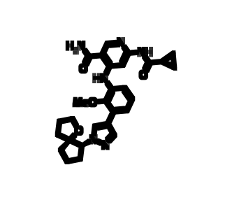 COc1c(Nc2cc(NC(=O)C3CC3)ncc2C(N)=O)cccc1-c1cnn([C@H]2CCC[C@]23CCCO3)c1